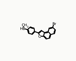 CBc1ccc(-c2cc3c(ccc4ccc(Br)cc43)o2)cc1